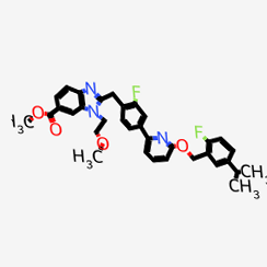 COCCn1c(Cc2ccc(-c3cccc(OCc4cc(C(C)C)ccc4F)n3)cc2F)nc2ccc(C(=O)OC)cc21